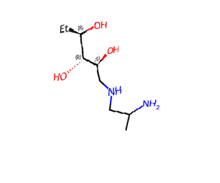 CC[C@@H](O)[C@@H](O)[C@@H](O)CNCC(C)N